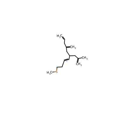 C=CCC(=C)CC(/C=C/CCSC)CC(=C)C